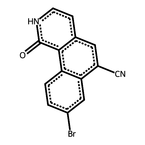 N#Cc1cc2cc[nH]c(=O)c2c2ccc(Br)cc12